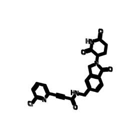 O=C(C#Cc1cccc(Cl)n1)NCc1ccc2c(c1)CN(C1CCC(=O)NC1=O)C2=O